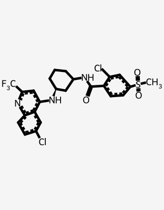 CS(=O)(=O)c1ccc(C(=O)NC2CCC[C@H](Nc3cc(C(F)(F)F)nc4ccc(Cl)cc34)C2)c(Cl)c1